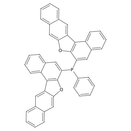 c1ccc(P(c2cc3ccccc3c3c2oc2cc4ccccc4cc23)c2cc3ccccc3c3c2oc2cc4ccccc4cc23)cc1